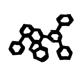 c1ccc(-c2nc(-c3ccccc3)nc(-c3cc4cccc(-c5ccccc5)c4c4oc5ccccc5c34)n2)cc1